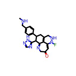 CNCc1ccc(C2CC3=C4C(=CC(=O)CN=C4C2c2ncn[nH]2)N(F)NC3)cc1